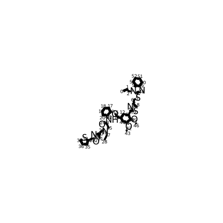 C=CCn1c(SCc2csc(-c3cc(COc4ccccc4NC(=O)CN(CC)Cc4coc(-c5cccs5)n4)cc(OC)c3OC)n2)nc2ccccc21